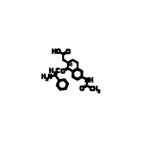 CC(=O)Nc1ccc2c(c1)CC[C@H](CC(=O)O)C2=O.CC(N)c1ccccc1